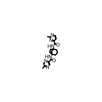 Cc1cnc(C(=O)NC23CCCC(NC(=O)c4ccnc(C)n4)(CC2)C3)cn1